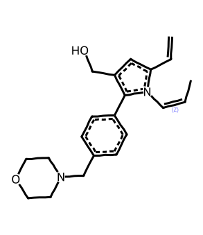 C=Cc1cc(CO)c(-c2ccc(CN3CCOCC3)cc2)n1/C=C\C